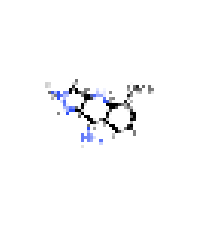 COc1cccc2c(N)c3nn(C)cc3nc12